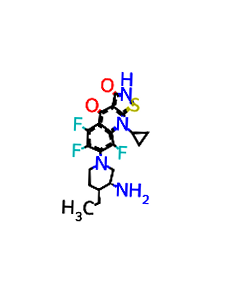 CC[C@H]1CCN(c2c(F)c(F)c3c(=O)c4c(=O)[nH]sc4n(C4CC4)c3c2F)C[C@H]1N